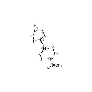 CC(=O)N1CCN(C2CCN(C)CC2)CC1